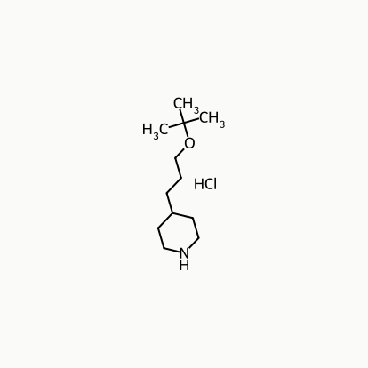 CC(C)(C)OCCCC1CCNCC1.Cl